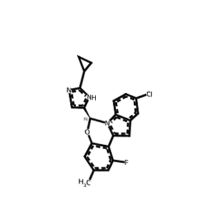 Cc1cc(F)c2c(c1)O[C@@H](c1cnc(C3CC3)[nH]1)n1c-2cc2cc(Cl)ccc21